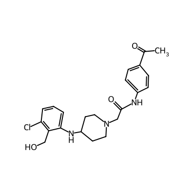 CC(=O)c1ccc(NC(=O)CN2CCC(Nc3cccc(Cl)c3CO)CC2)cc1